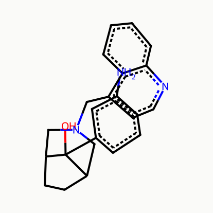 Nc1cccc(C2(O)C3CCC2CN(Cc2ccnc4ccccc24)C3)c1